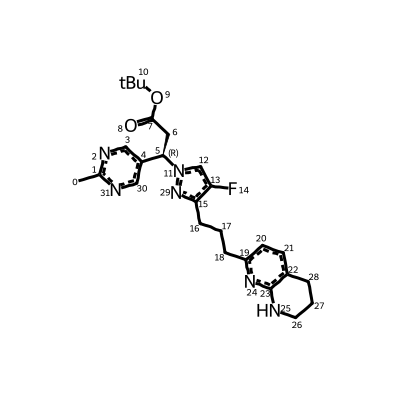 Cc1ncc([C@@H](CC(=O)OC(C)(C)C)n2cc(F)c(CCCc3ccc4c(n3)NCCC4)n2)cn1